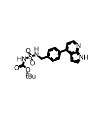 CC(C)(C)OC(=O)NS(=O)(=O)NCc1ccc(-c2ccnc3[nH]ccc23)cc1